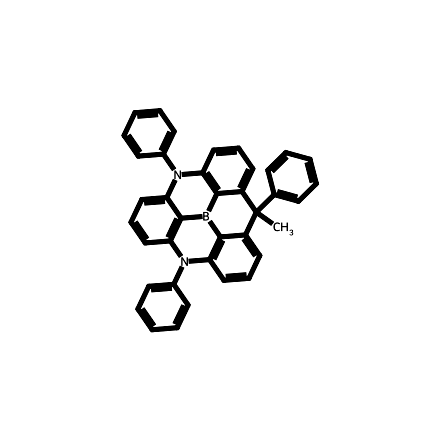 CC1(c2ccccc2)c2cccc3c2B2c4c(cccc4N(c4ccccc4)c4cccc1c42)N3c1ccccc1